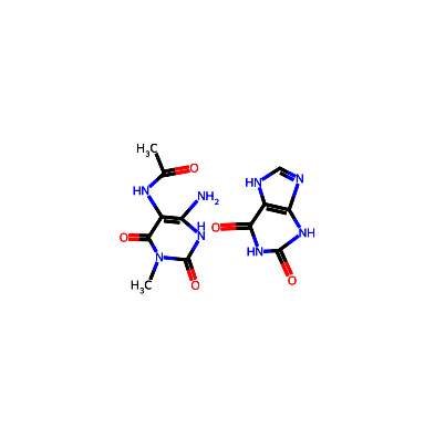 CC(=O)Nc1c(N)[nH]c(=O)n(C)c1=O.O=c1[nH]c(=O)c2[nH]cnc2[nH]1